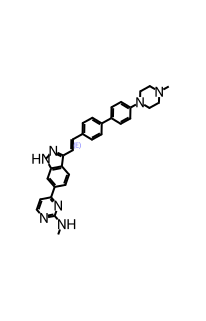 CNc1nccc(-c2ccc3c(/C=C/c4ccc(-c5ccc(N6CCN(C)CC6)cc5)cc4)n[nH]c3c2)n1